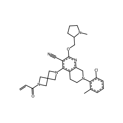 C=CC(=O)N1CC2(C1)CN(c1c(C#N)c(OCC3CCCN3C)nc3c1CCN(c1c(C)cccc1Cl)C3)C2